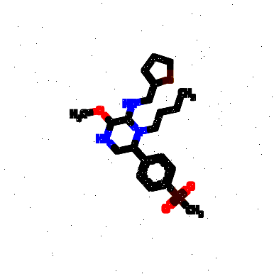 CCCCN1C(c2ccc(S(C)(=O)=O)cc2)CNC(OC)C1NCC1CCCS1